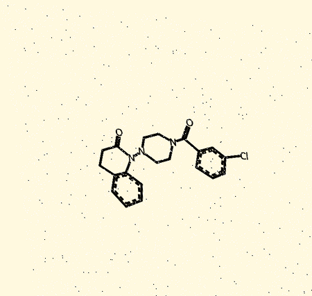 O=C(c1cccc(Cl)c1)N1CCN(N2C(=O)CCc3ccccc32)CC1